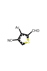 CC(=O)c1c(C#N)csc1C=O